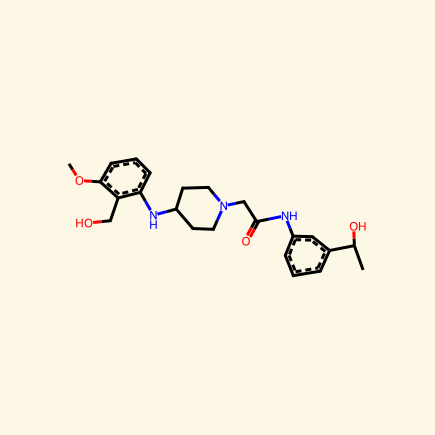 COc1cccc(NC2CCN(CC(=O)Nc3cccc(C(C)O)c3)CC2)c1CO